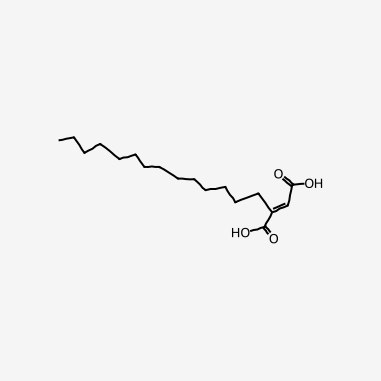 CCCCCCCCCCCCCC/C(=C\C(=O)O)C(=O)O